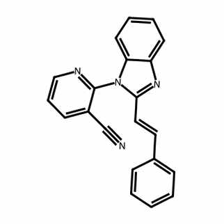 N#Cc1cccnc1-n1c(C=Cc2ccccc2)nc2ccccc21